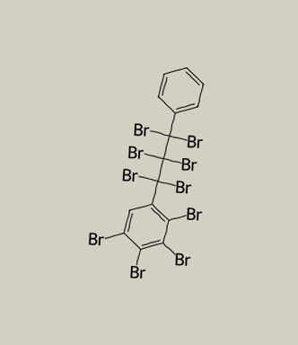 Brc1cc(C(Br)(Br)C(Br)(Br)C(Br)(Br)c2ccccc2)c(Br)c(Br)c1Br